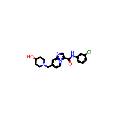 O=C(Nc1cccc(Cl)c1)c1cnc2cc(CN3CCC(O)CC3)ccn12